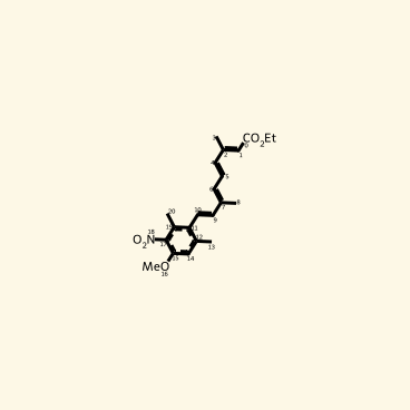 CCOC(=O)C=C(C)C=CC=C(C)C=Cc1c(C)cc(OC)c([N+](=O)[O-])c1C